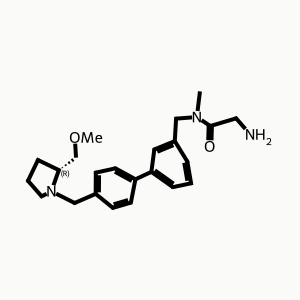 COC[C@H]1CCCN1Cc1ccc(-c2cccc(CN(C)C(=O)CN)c2)cc1